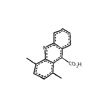 Cc1ccc(C)c2c(C(=O)O)c3ccccc3nc12